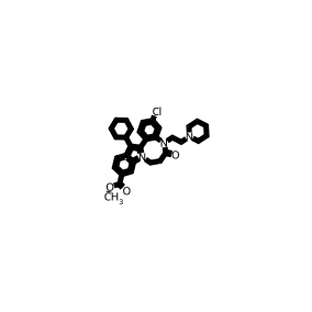 COC(=O)c1ccc2c(C3CCCCC3)c3n(c2c1)CCC(=O)N(CCN1CCCCC1)c1cc(Cl)ccc1-3